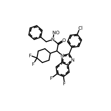 O=NN(Cc1ccccc1)C(=O)C(C1CCC(F)(F)CC1)n1c(-c2ccc(Cl)cc2)nc2cc(F)c(F)cc21